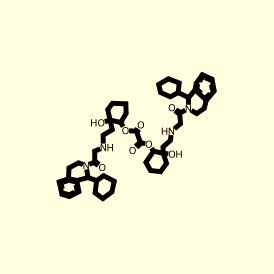 O=C(OC1CCCCC1(O)CCNCC(=O)N1CCc2ccccc2C1C1CCCCC1)C(=O)OC1CCCCC1(O)CCNCC(=O)N1CCc2ccccc2C1C1CCCCC1